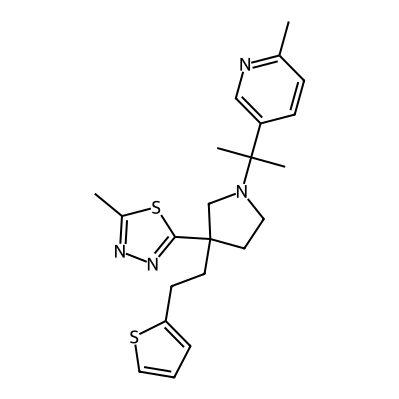 Cc1ccc(C(C)(C)N2CCC(CCc3cccs3)(c3nnc(C)s3)C2)cn1